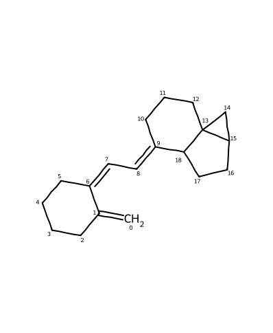 C=C1CCCC/C1=C/C=C1\CCCC23CC2CCC13